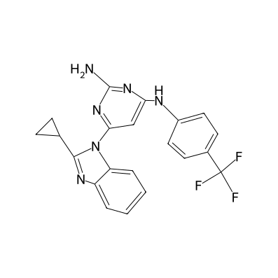 Nc1nc(Nc2ccc(C(F)(F)F)cc2)cc(-n2c(C3CC3)nc3ccccc32)n1